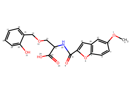 COc1ccc2oc(C(=O)NC(COCc3ccccc3O)C(=O)O)cc2c1